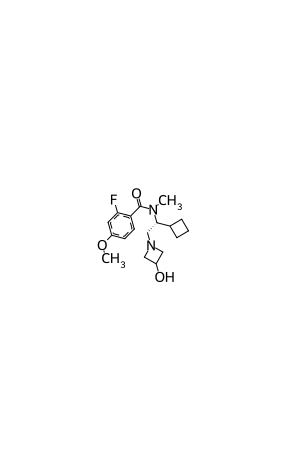 COc1ccc(C(=O)N(C)[C@@H](CN2CC(O)C2)C2CCC2)c(F)c1